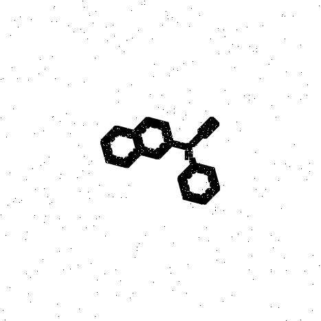 C#C[SH](c1ccccc1)c1ccc2ccccc2c1